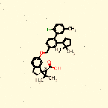 Cc1ccc(F)c(-c2ccc(COc3ccc4c(c3)[C@@]3(CC4)[C@@H](C(=O)O)C3(C)C)cc2C2=CCCC2(C)C)c1